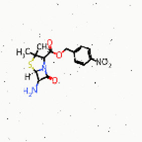 CC1(C)S[C@@H]2C(N)C(=O)N2C1C(=O)OCc1ccc([N+](=O)[O-])cc1